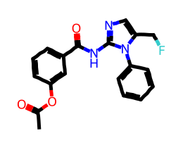 CC(=O)Oc1cccc(C(=O)Nc2ncc(CF)n2-c2ccccc2)c1